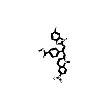 COC(=O)c1ccc(C(=C\c2sc3ccc(Br)cc3[n+]2C)/C=C2\C=Cc3cc([N+](=O)[O-])ccc3N2C)cc1